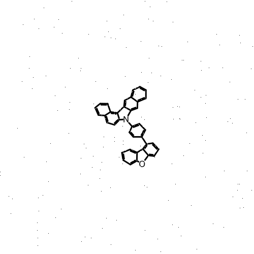 c1ccc2cc3c(cc2c1)c1c2ccccc2ccc1n3-c1ccc(-c2cccc3oc4ccccc4c23)cc1